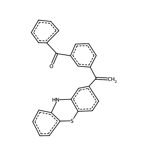 C=C(c1cccc(C(=O)c2ccccc2)c1)c1ccc2c(c1)Nc1ccccc1S2